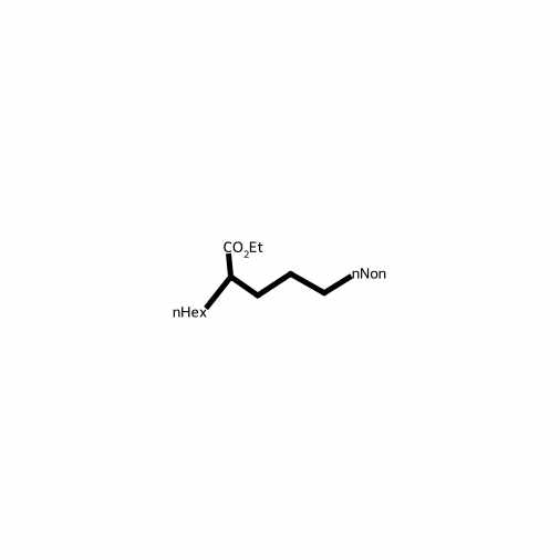 CCCCCCCCCCCCC(CCCCCC)C(=O)OCC